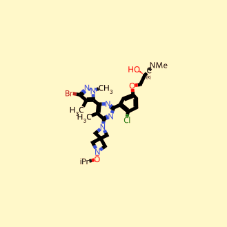 CNC[C@@H](O)COc1ccc(Cl)c(-c2nc(-c3c(C)c(Br)nn3C)c(C)c(N3CC4(CN(OC(C)C)C4)C3)n2)c1